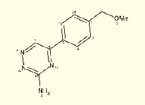 COCc1ccc(-c2cnnc(N)n2)cc1